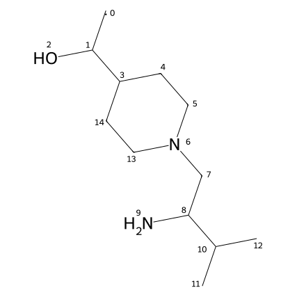 [CH2]C(O)C1CCN(CC(N)C(C)C)CC1